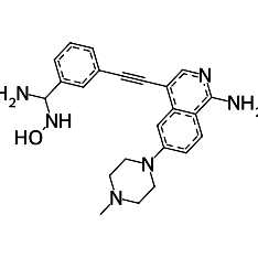 CN1CCN(c2ccc3c(N)ncc(C#Cc4cccc(C(N)NO)c4)c3c2)CC1